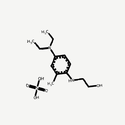 CCN(CC)c1ccc(NCCO)c(C)c1.O=S(=O)(O)O